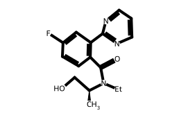 CCN(C(=O)c1ccc(F)cc1-c1ncccn1)[C@@H](C)CO